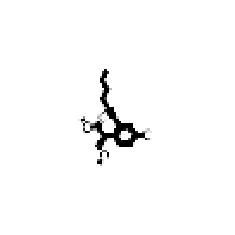 CCCCC#Cc1cc(Cl)ccc1/C(=C\OC)C(=O)OC